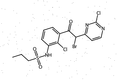 CCCS(=O)(=O)Nc1cccc(C(=O)C(Br)c2ccnc(Cl)n2)c1Cl